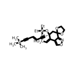 CC[Si](CC)(CC)O[C@@]1(C#CC=CC#C[Si](C)(C)C)CC2(OCCO2)c2nocc2C1=CC(=O)O